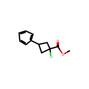 COC(=O)C1(Cl)CC(c2ccccc2)C1